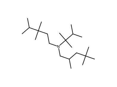 CC(CN(CCC(C)(C)C(C)C)C(C)(C)C(C)C)CC(C)(C)C